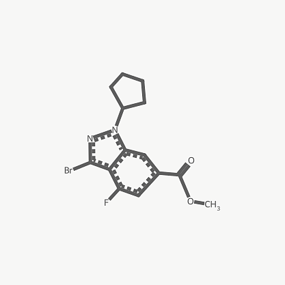 COC(=O)c1cc(F)c2c(Br)nn(C3CCCC3)c2c1